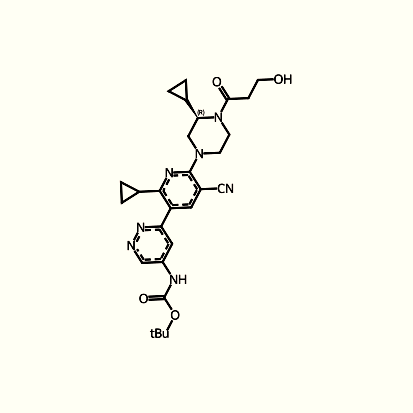 CC(C)(C)OC(=O)Nc1cnnc(-c2cc(C#N)c(N3CCN(C(=O)CCO)[C@H](C4CC4)C3)nc2C2CC2)c1